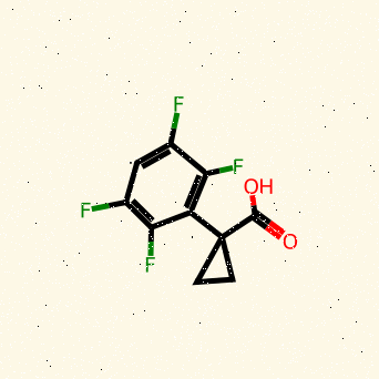 O=C(O)C1(c2c(F)c(F)[c]c(F)c2F)CC1